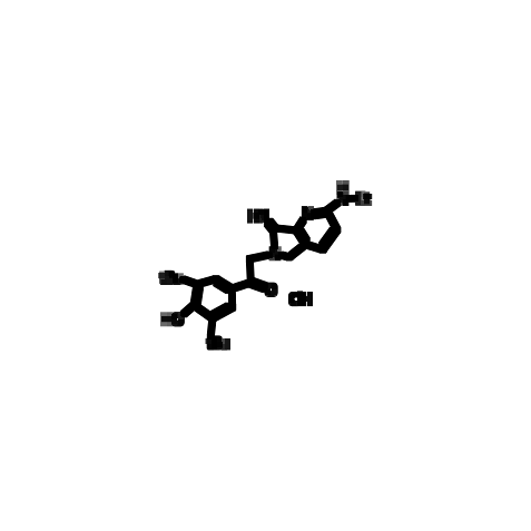 CCNc1ccc2c(n1)C(=N)N(CC(=O)c1cc(C(C)(C)C)c(O)c(C(C)(C)C)c1)C2.Cl